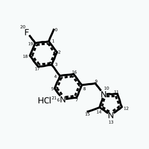 Cc1cc(-c2cncc(Cn3ccnc3C)c2)ccc1F.Cl